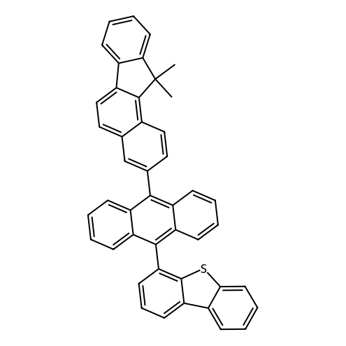 CC1(C)c2ccccc2-c2ccc3cc(-c4c5ccccc5c(-c5cccc6c5sc5ccccc56)c5ccccc45)ccc3c21